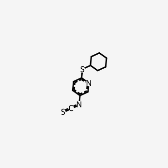 S=C=Nc1ccc(SC2CCCCC2)nc1